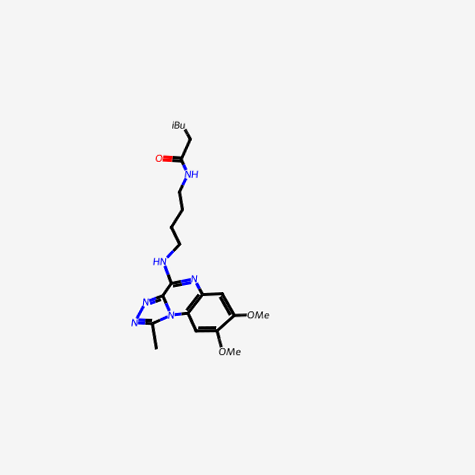 CCC(C)CC(=O)NCCCCNc1nc2cc(OC)c(OC)cc2n2c(C)nnc12